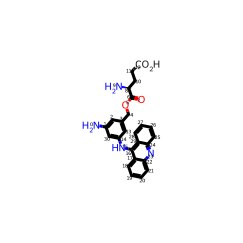 Nc1cc(COC(=O)[C@@H](N)CCC(=O)O)cc(Nc2c3ccccc3nc3ccccc23)c1